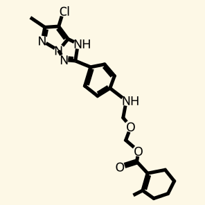 CC1=C(C(=O)OCOCNc2ccc(-c3nn4nc(C)c(Cl)c4[nH]3)cc2)CCCC1